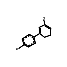 ClC1=CC[CH]C(c2ccc(Br)cc2)=C1